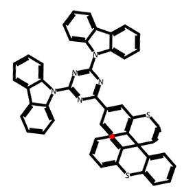 c1ccc2c(c1)Sc1ccccc1C21c2ccccc2Sc2cc(-c3nc(-n4c5ccccc5c5ccccc54)nc(-n4c5ccccc5c5ccccc54)n3)ccc21